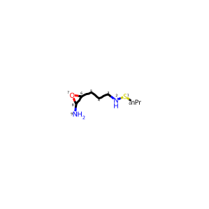 CCCSNCCCC1OC1N